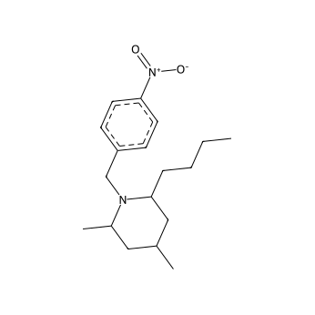 CCCCC1CC(C)CC(C)N1Cc1ccc([N+](=O)[O-])cc1